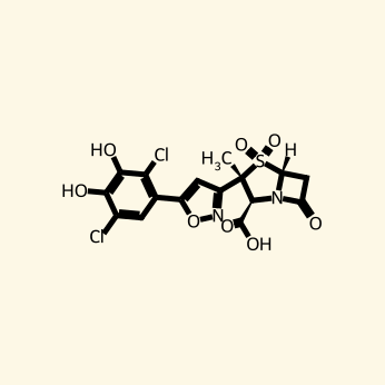 C[C@]1(c2cc(-c3cc(Cl)c(O)c(O)c3Cl)on2)[C@H](C(=O)O)N2C(=O)C[C@H]2S1(=O)=O